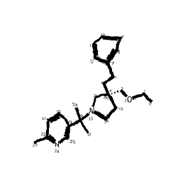 CCOC[C@]1(CCc2ccccc2)CCN(C(C)(C)c2ccc(C)nc2)C1